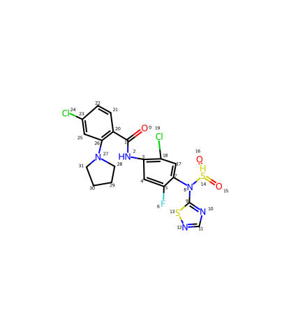 O=C(Nc1cc(F)c(N(c2ncns2)[SH](=O)=O)cc1Cl)c1ccc(Cl)cc1N1CCCC1